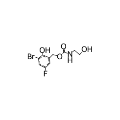 O=C(NCCO)OCc1cc(F)cc(Br)c1O